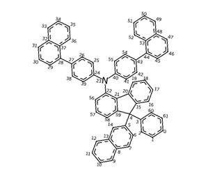 c1ccc(C2(c3ccc4ccccc4c3)c3ccccc3-c3c(N(c4ccc(-c5cccc6ccccc56)cc4)c4ccc(-c5cccc6ccccc56)cc4)cccc32)cc1